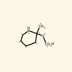 CC1(OC(=O)O)CCCCN1